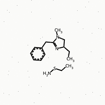 CCC1CN(C)C(Cc2ccccc2)=N1.CCSN